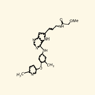 COCC(=O)NCC=Cc1cc2ncnc(Nc3ccc(Oc4ccc(C)nc4)c(C)c3)c2[nH]1